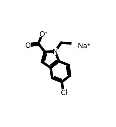 CCn1c(C(=O)[O-])cc2cc(Cl)ccc21.[Na+]